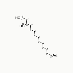 CCCCCCCCCCCCCCCCCCCCC(O)CS(=O)(=O)O